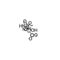 C=CC(=O)N[C@H]1COC[C@H]1Nc1ncc2c(n1)N(C)C(O)C(c1cc(OC)cc(OC)c1)=C2